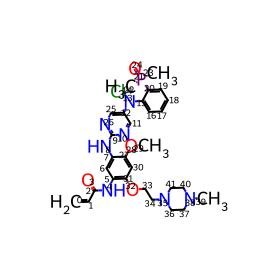 C=CC(=O)Nc1cc(Nc2ncc(N(Cl)c3ccccc3P(C)(C)=O)cn2)c(OC)cc1OCCN1CCN(C)CC1